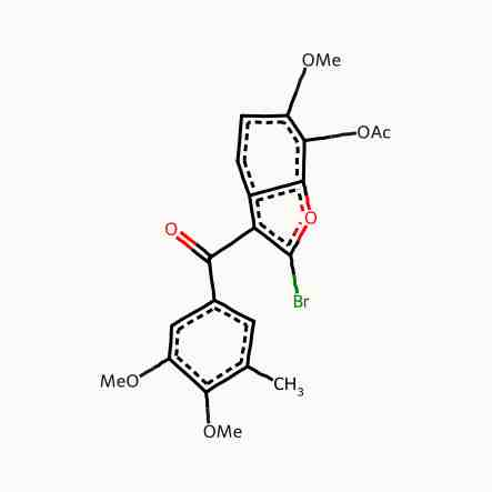 COc1cc(C(=O)c2c(Br)oc3c(OC(C)=O)c(OC)ccc23)cc(C)c1OC